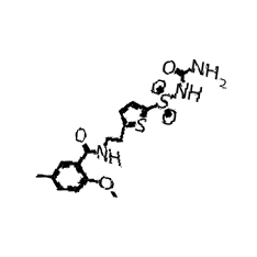 COc1ccc(C)cc1C(=O)NCCc1ccc(S(=O)(=O)NC(N)=O)s1